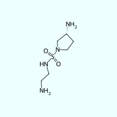 NCCNS(=O)(=O)N1CC[C@@H](N)C1